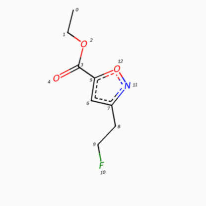 CCOC(=O)c1cc(CCF)no1